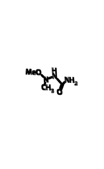 CON(C)NC(N)=O